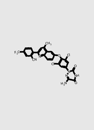 Cc1cc(-c2ccc(C(F)(F)F)cc2C#N)nc2ccc(Oc3c(Cl)cc(-n4nc(N)c(=O)[nH]c4=O)cc3Cl)cc12